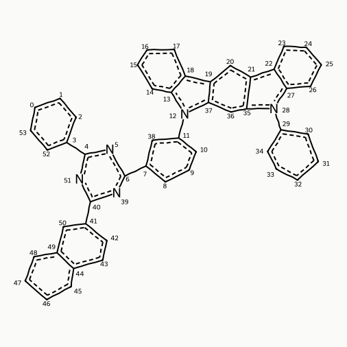 c1ccc(-c2nc(-c3cccc(-n4c5ccccc5c5cc6c7ccccc7n(-c7ccccc7)c6cc54)c3)nc(-c3ccc4ccccc4c3)n2)cc1